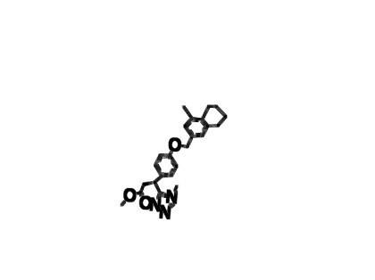 COC(=O)C[C@@H](c1ccc(OCc2cc(C)c3c(c2)CCCC3)cc1)c1nncn1C